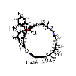 CO[C@H]1/C=C/O[C@@]2(C)Oc3c(C)c(O)c4c(=O)c(c5oc6cc(F)cc(O)c6nc-5c4c3C2=O)NC(=O)/C(C)=C\C=C\[C@H](C)[C@H](O)[C@@H](C)[C@@H](O)[C@@H](C)[C@H](OC(C)=O)[C@@H]1C